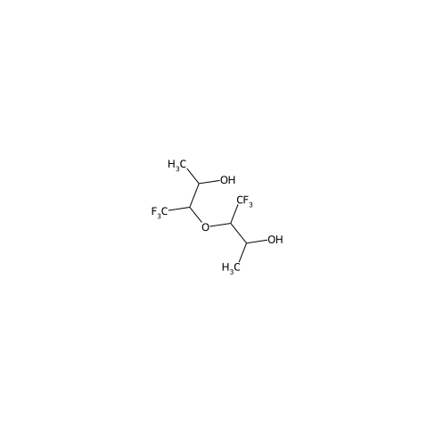 CC(O)C(OC(C(C)O)C(F)(F)F)C(F)(F)F